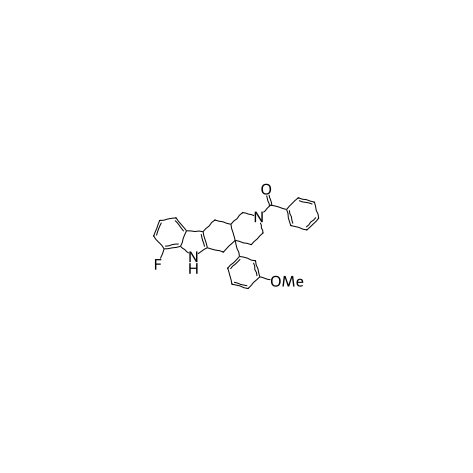 COc1cccc(C23CCN(C(=O)c4ccccc4)CC2Cc2c([nH]c4c(F)cccc24)C3)c1